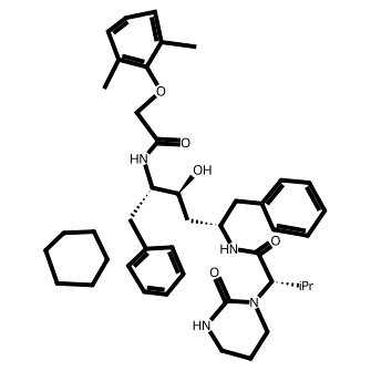 C1CCCCC1.Cc1cccc(C)c1OCC(=O)N[C@@H](Cc1ccccc1)[C@@H](O)C[C@H](Cc1ccccc1)NC(=O)[C@H](C(C)C)N1CCCNC1=O